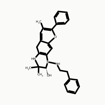 CC1=C(c2ccccc2)OC2=CC3=C(CC2=C1)NC(C)(C)[C@@H](O)N3NCCc1ccccc1